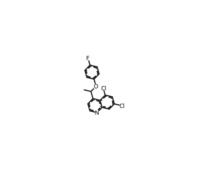 CC(Oc1ccc(F)cc1)c1ccnc2cc(Cl)cc(Cl)c12